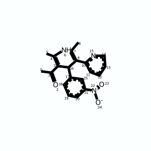 CC(=O)C1=C(C)NC(C)=C(c2ccccn2)C1c1cccc([N+](=O)[O-])c1